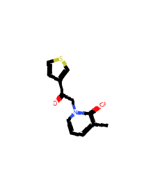 Cc1cccn(CC(=O)c2ccsc2)c1=O